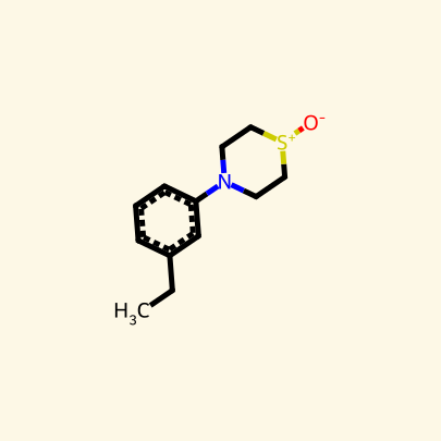 CCc1cccc(N2CC[S+]([O-])CC2)c1